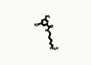 Nc1cc(N)cc(C(=O)NCCCCCC(=O)O)c1